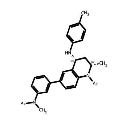 CC(=O)N(C)c1cccc(-c2ccc3c(c2)[C@H](Nc2ccc(C)cc2)C[C@H](C)N3C(C)=O)c1